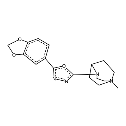 C[N+]12CCC(CC1)N(c1nnc(-c3ccc4c(c3)OCO4)o1)CC2